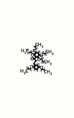 CCCOc1ccc(OCCC)c(CCC(=O)c2c(OCCC)c(OCCC)cc(OCCC)c2OCCC)c1